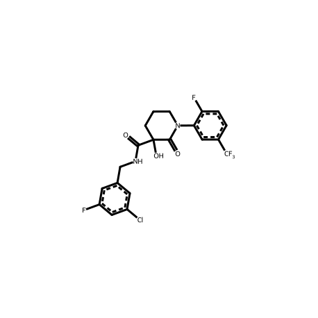 O=C(NCc1cc(F)cc(Cl)c1)C1(O)CCCN(c2cc(C(F)(F)F)ccc2F)C1=O